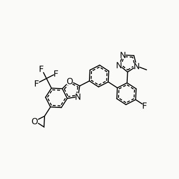 Cn1cnnc1-c1cc(F)ccc1-c1cccc(-c2nc3cc(C4CO4)cc(C(F)(F)F)c3o2)c1